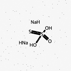 O=S(O)(O)=S.[NaH].[NaH]